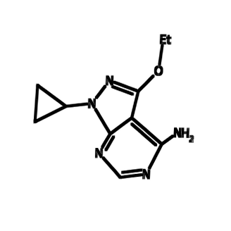 CCOc1nn(C2CC2)c2ncnc(N)c12